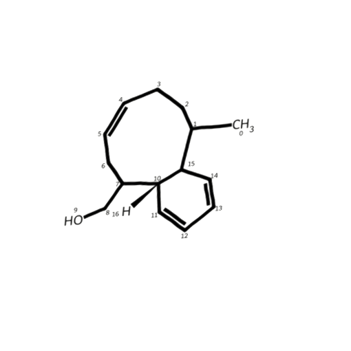 CC1CC/C=C\CC(CO)[C@H]2C=CC=CC12